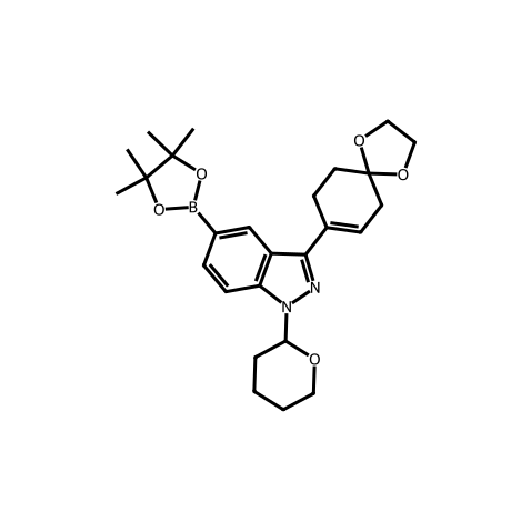 CC1(C)OB(c2ccc3c(c2)c(C2=CCC4(CC2)OCCO4)nn3C2CCCCO2)OC1(C)C